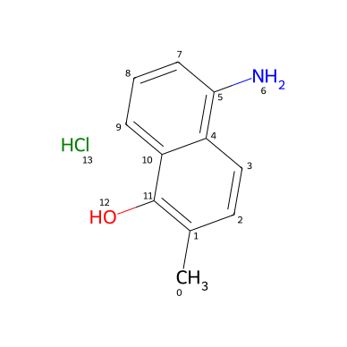 Cc1ccc2c(N)cccc2c1O.Cl